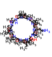 C/C=C/C[C@@H](C)[C@@H](O)[C@@H]1C(=O)N[C@H](C(C)C)C(=O)N(C)[C@H](CSCCN)C(=O)N(C)[C@@H](CC(C)C)C(=O)N[C@H](C(C)C)C(=O)N(C)[C@H](CC(C)C)C(=O)N[C@H](C)C(=O)N[C@@H](C)C(=O)N(C)[C@H](CC(C)C)C(=O)N(C)[C@H](CC(C)C)C(=O)N(C)[C@H](C(C)C)C(=O)N1C